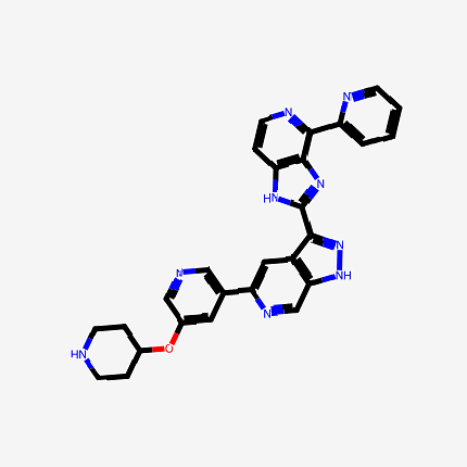 c1ccc(-c2nccc3[nH]c(-c4n[nH]c5cnc(-c6cncc(OC7CCNCC7)c6)cc45)nc23)nc1